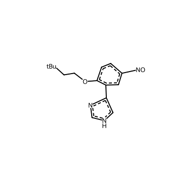 CC(C)(C)CCOc1ccc(N=O)cc1-c1c[nH]cn1